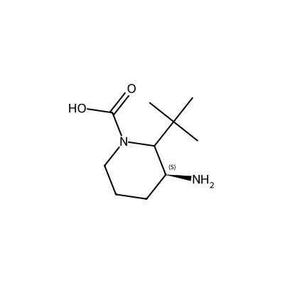 CC(C)(C)C1[C@@H](N)CCCN1C(=O)O